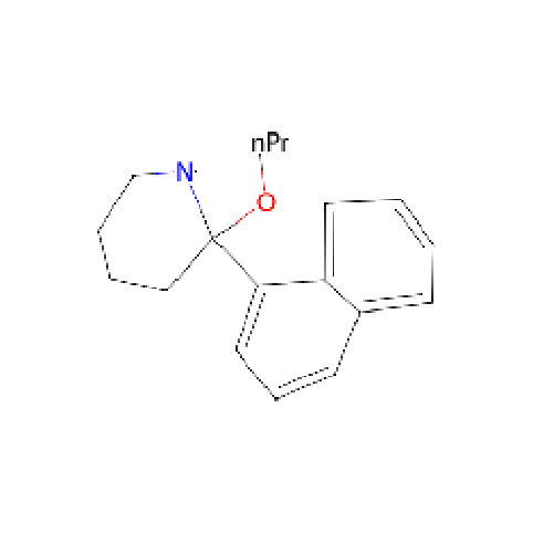 CCCOC1(c2cccc3ccccc23)CCCC[N]1